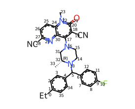 CCc1ccc(C(c2ccc(F)cc2)N2CCN(c3c(C#N)c(=O)n(C)c4ccc(C#N)nc34)C[C@H]2C)cc1